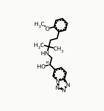 COc1ccccc1CCC(C)(C)NC[C@H](O)c1ccc2nnnn2c1